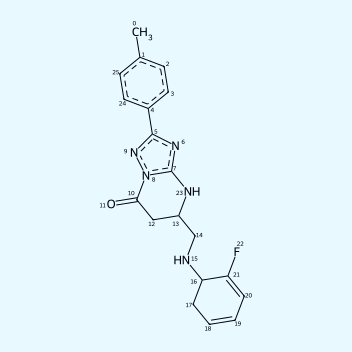 Cc1ccc(-c2nc3n(n2)C(=O)CC(CNC2CC=CC=C2F)N3)cc1